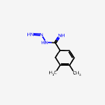 CC1=C(C)CC(C(=N)NN=N)C=C1